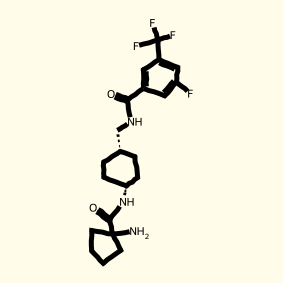 NC1(C(=O)N[C@H]2CC[C@@H](CNC(=O)c3cc(F)cc(C(F)(F)F)c3)CC2)CCCC1